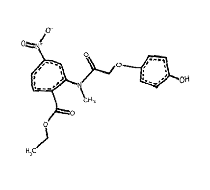 CCOC(=O)c1ccc([N+](=O)[O-])cc1N(C)C(=O)COc1ccc(O)cc1